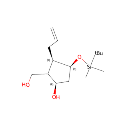 C=CC[C@@H]1C(CO)[C@H](O)C[C@@H]1O[Si](C)(C)C(C)(C)C